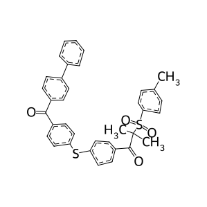 Cc1ccc(S(=O)(=O)C(C)(C)C(=O)c2ccc(Sc3ccc(C(=O)c4ccc(-c5ccccc5)cc4)cc3)cc2)cc1